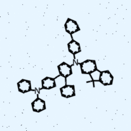 CC1(C)c2ccccc2-c2ccc(N(c3ccc(-c4ccccc4)cc3)c3ccc(-c4ccc(N(c5ccccc5)c5ccccc5)cc4)c(-c4ccccc4)c3)cc21